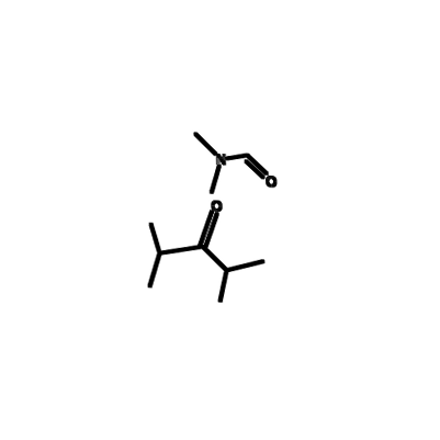 CC(C)C(=O)C(C)C.CN(C)C=O